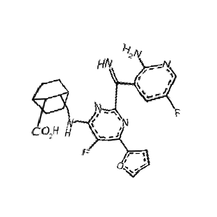 N=C(c1nc(NC2C3CCC(CC3)C2C(=O)O)c(F)c(-c2ccco2)n1)c1cc(F)cnc1N